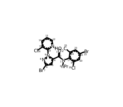 CCCN(C(=O)c1cc(Br)nn1-c1ncccc1Cl)c1c(Cl)cc(Br)cc1C(=O)O